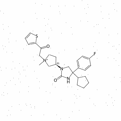 C[N+]1(CC(=O)c2cccs2)CC[C@@H](N2CC(c3ccc(F)cc3)(C3CCCC3)NC2=O)C1